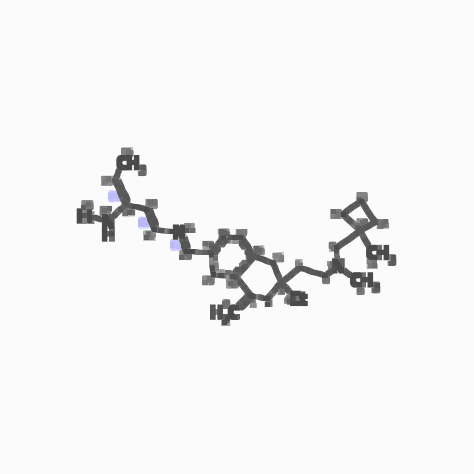 C=C1CC(CC)(CCN(C)CC2(C)CCC2)Cc2ccc(/C=N/C=C/C(=C\C)NCC)cc21